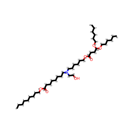 CCCCCCCCCOC(=O)CCCCCCCN(CCO)CCCCCCOC(=O)CCC(OCCCCCC)OCCCCCC